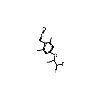 Cc1cc(OC(F)C(F)F)cc(C)c1C=C=O